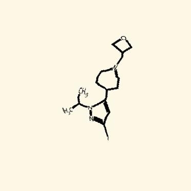 CC(C)n1nc(I)cc1C1CCN(C2COC2)CC1